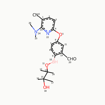 [C-]#[N+]c1ccc(Oc2ccc(BOC(C)(C)C(C)(C)O)c(C=O)c2)nc1N(C)C